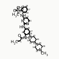 C=CC(=O)Nc1cc(Nc2nccc(Nc3ccccc3P(C)(C)=O)n2)ccc1N1CCC(N2CCN(C)CC2)CC1